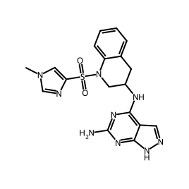 Cn1cnc(S(=O)(=O)N2CC(Nc3nc(N)nc4[nH]ncc34)Cc3ccccc32)c1